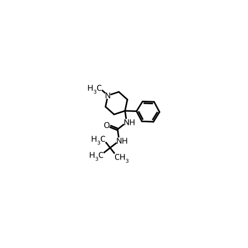 CN1CCC(NC(=O)NC(C)(C)C)(c2ccccc2)CC1